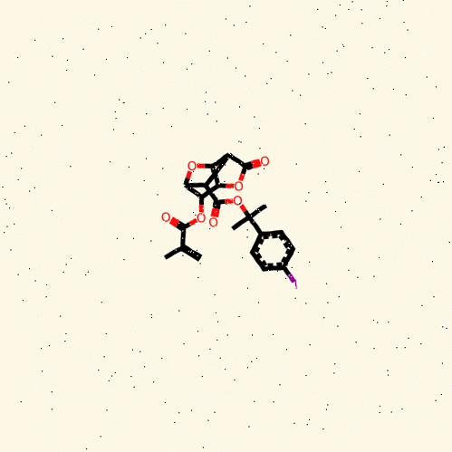 C=C(C)C(=O)OC1C2OC(=O)C3C2OC1C3C(=O)OC(C)(C)c1ccc(I)cc1